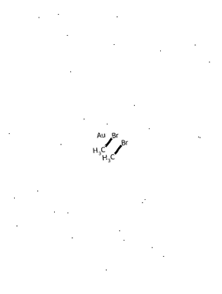 CBr.CBr.[Au]